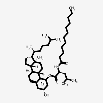 CCCCCCCCCCCC(=O)N[C@@H](CC(C)C)C(=O)OC1C[C@H](O)CC2=CC[C@H]3[C@@H]4CC[C@H]([C@H](C)CCCC(C)C)[C@@]4(C)CC[C@@H]3[C@]21C